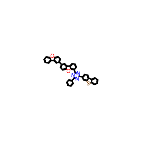 c1ccc(-c2nc(-c3ccc4c(c3)sc3ccccc34)nc(-c3cccc4c3oc3ccc(-c5ccc6oc7ccccc7c6c5)cc34)n2)cc1